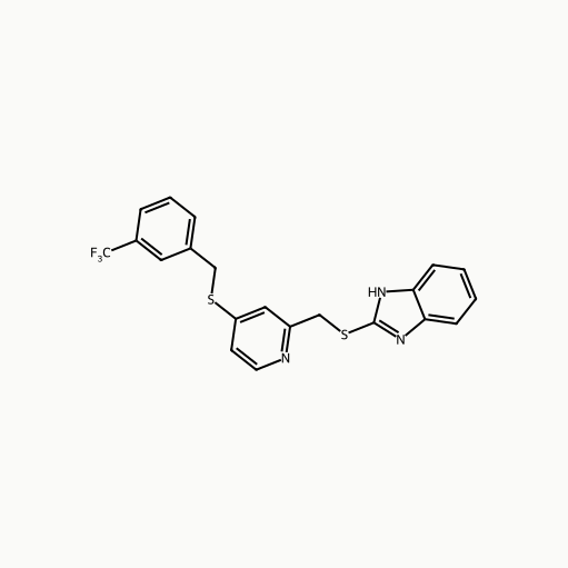 FC(F)(F)c1cccc(CSc2ccnc(CSc3nc4ccccc4[nH]3)c2)c1